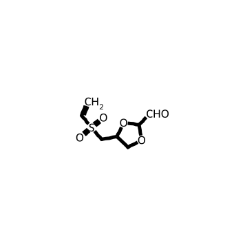 C=CS(=O)(=O)CC1COC(C=O)O1